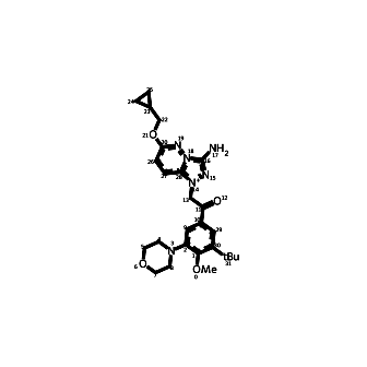 COc1c(N2CCOCC2)cc(C(=O)C[n+]2nc(N)n3nc(OCC4CC4)ccc32)cc1C(C)(C)C